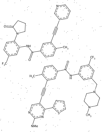 CNc1ncc(C#Cc2cc(C(=O)Nc3cc(CN4CCN(C)CC4)cc(C(F)(F)F)c3)ccc2C)c(-c2cccs2)n1.Cc1ccc(C(=O)Nc2cc(C(F)(F)F)ccc2N2CCCC2=O)cc1C#Cc1cccnc1